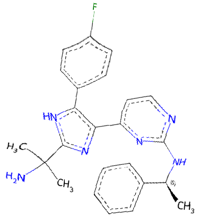 C[C@H](Nc1nccc(-c2nc(C(C)(C)N)[nH]c2-c2ccc(F)cc2)n1)c1ccccc1